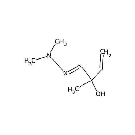 C=CC(C)(O)C=NN(C)C